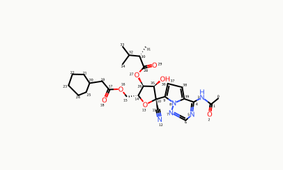 CC(=O)Nc1ncnn2c([C@]3(C#N)O[C@H](COC(=O)CC4CCCCC4)[C@@H](OC(=O)[C@@H](C)C(C)C)[C@H]3O)ccc12